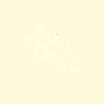 Cc1nnc(C(C)C(O)c2cccc(OCCCC(F)(F)F)c2)o1